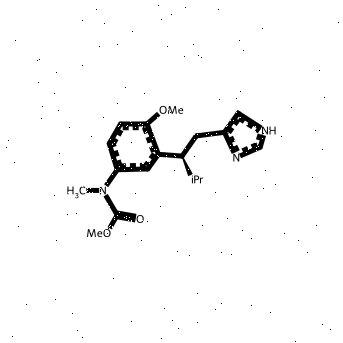 COC(=O)N(C)c1ccc(OC)c([C@@H](Cc2c[nH]cn2)C(C)C)c1